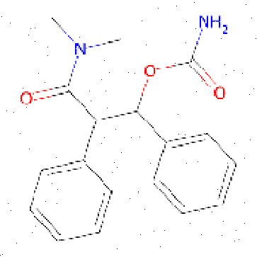 CN(C)C(=O)C(c1ccccc1)C(OC(N)=O)c1ccccc1